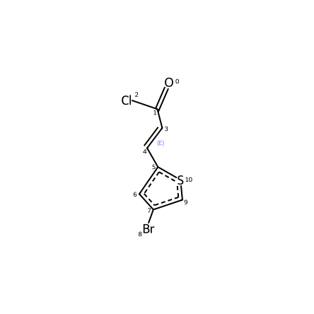 O=C(Cl)/C=C/c1cc(Br)cs1